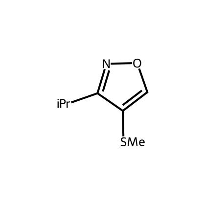 CSc1conc1C(C)C